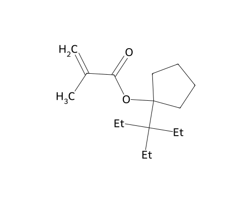 C=C(C)C(=O)OC1(C(CC)(CC)CC)CCCC1